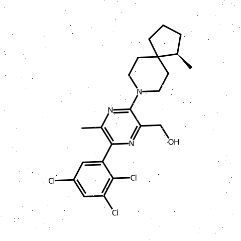 Cc1nc(N2CCC3(CCC[C@H]3C)CC2)c(CO)nc1-c1cc(Cl)cc(Cl)c1Cl